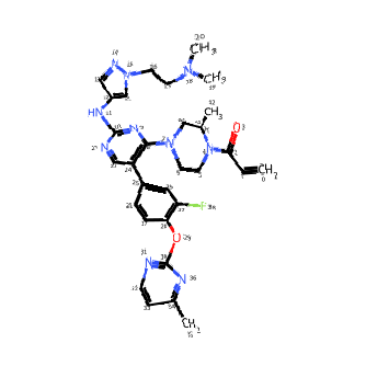 C=CC(=O)N1CCN(c2nc(Nc3cnn(CCN(C)C)c3)ncc2-c2ccc(Oc3nccc(C)n3)c(F)c2)C[C@H]1C